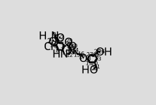 NS(=O)(=O)c1cc2c(cc1Cl)NCN(CCCOc1cc(CO)cc(CO)c1)S2(=O)=O